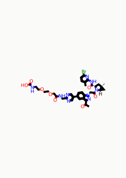 CC(=O)c1nn(CC(=O)N2[C@H](C(=O)Nc3nc(Br)ccc3C)C[C@@]3(C)C[C@@H]23)c2ccc(-c3cnc(CNC(=O)COCCOCCNC(=O)O)nc3)cc12